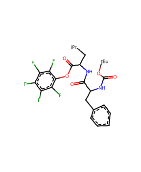 CC(C)CC(NC(=O)C(Cc1ccccc1)NC(=O)OC(C)(C)C)C(=O)Oc1c(F)c(F)c(F)c(F)c1F